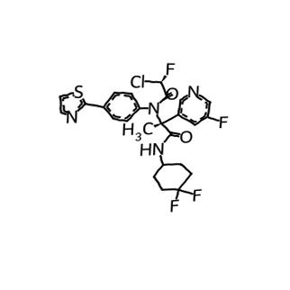 C[C@](C(=O)NC1CCC(F)(F)CC1)(c1cncc(F)c1)N(C(=O)[C@H](F)Cl)c1ccc(-c2nccs2)cc1